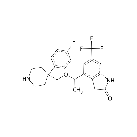 CC(OCC1(c2ccc(F)cc2)CCNCC1)c1cc(C(F)(F)F)cc2c1CC(=O)N2